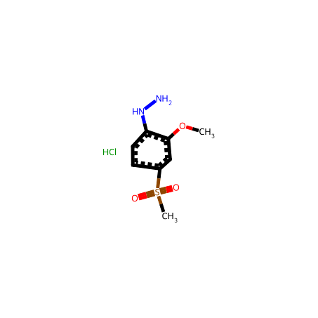 COc1cc(S(C)(=O)=O)ccc1NN.Cl